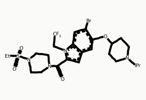 CCS(=O)(=O)N1CCN(C(=O)c2cc3cc(OC4CCN(C(C)C)CC4)c(Br)cc3n2CC(F)(F)F)CC1